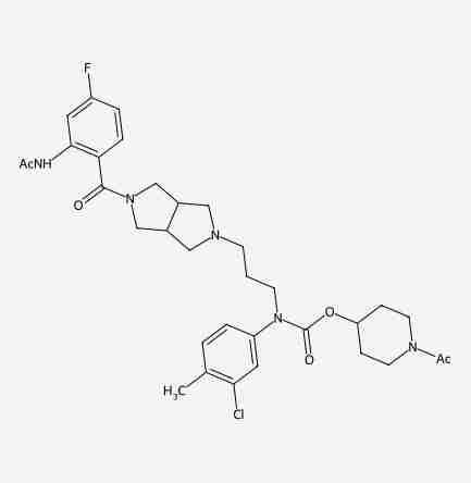 CC(=O)Nc1cc(F)ccc1C(=O)N1CC2CN(CCCN(C(=O)OC3CCN(C(C)=O)CC3)c3ccc(C)c(Cl)c3)CC2C1